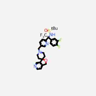 CC(C)(C)[S@@+]([O-])N[C@@](c1ccc(F)c(F)c1)(c1ccc(CN2CCC3(CC2)OCc2ccncc23)cn1)C(F)(F)F